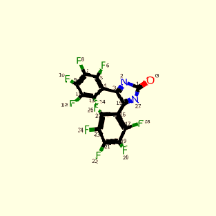 O=C1N=C(c2c(F)c(F)c(F)c(F)c2F)C(c2c(F)c(F)c(F)c(F)c2F)=N1